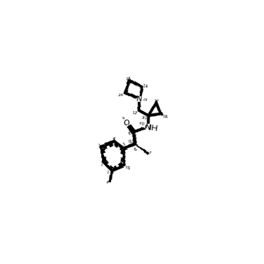 Cc1cccc([C@H](C)C(=O)NC2(CN3CCC3)CC2)c1